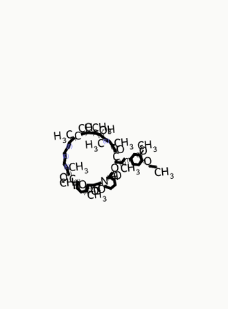 CCCO[C@@H]1CC[C@H](C[C@H](C)[C@@H]2CC(=O)[C@H](C)/C=C(\C)[C@@H](O)[C@@H](C)C(=O)[C@H](C)C[C@H](C)/C=C/C=C/C=C(\C)[C@@H](OC)C[C@@H]3CC[C@@H](C)[C@@](O)(O3)C(=O)C(=O)N3CCCC[C@H]3C(=O)O2)C[C@H]1OC